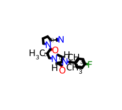 C[C@@H](CN1C[C@@H]2C[C@H]1C(=O)N2C(C)(C)c1ccc(F)cc1)C(=O)N1CCC[C@H]1C#N